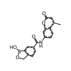 Cc1cc(=O)oc2cc(NC(=O)c3ccc4c(c3)B(O)OC4)ccc12